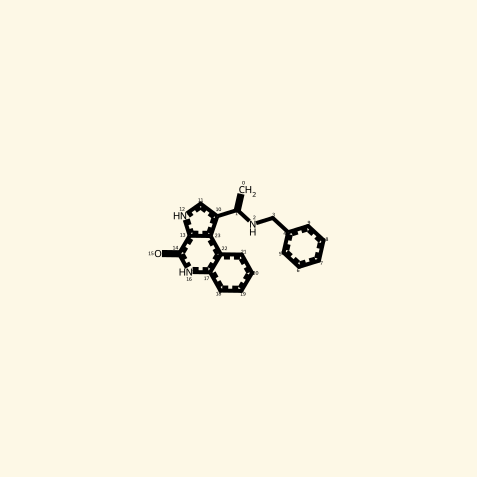 C=C(NCc1ccccc1)c1c[nH]c2c(=O)[nH]c3ccccc3c12